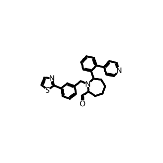 O=CC1CCCCC(c2ccccc2-c2ccncc2)N1Cc1cccc(-c2nccs2)c1